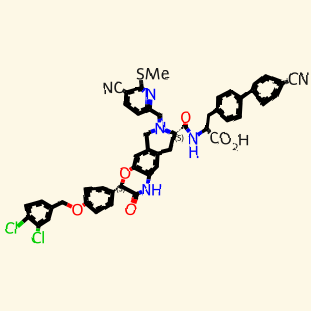 CSc1nc(CN2Cc3cc4c(cc3C[C@H]2C(=O)NC(Cc2ccc(-c3ccc(C#N)cc3)cc2)C(=O)O)NC(=O)[C@H](c2ccc(OCc3ccc(Cl)c(Cl)c3)cc2)O4)ccc1C#N